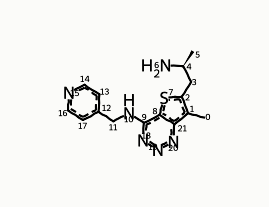 Cc1c(C[C@H](C)N)sc2c(NCc3ccncc3)nnnc12